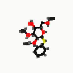 CCCCOCC1O[C@@H](Sc2ccccc2)[C@@H](OCCCC)C(OCCCC)[C@H]1O